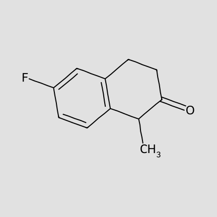 CC1C(=O)CCc2cc(F)ccc21